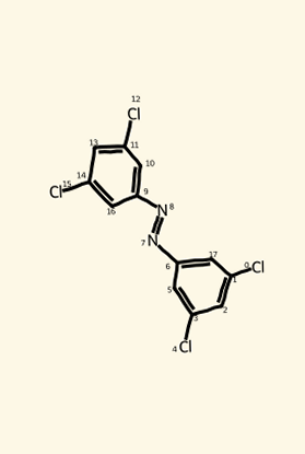 Clc1cc(Cl)cc(N=Nc2cc(Cl)cc(Cl)c2)c1